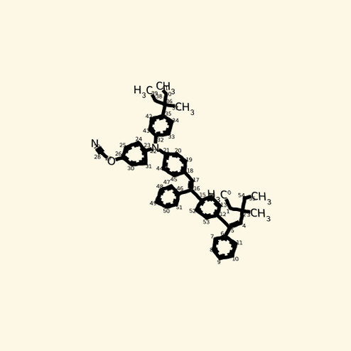 CCC(C)(C=C(c1ccccc1)c1ccc(C(=Cc2ccc(N(c3ccc(OC#N)cc3)c3ccc(C(C)(CC)CC)cc3)cc2)c2ccccc2)cc1)CC